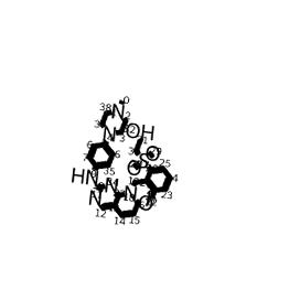 CN1CCN(c2ccc(Nc3ncc4ccc(=O)n(Cc5c(F)cccc5S(=O)(=O)CCO)c4n3)cc2)CC1